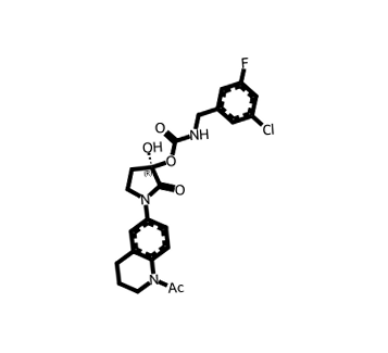 CC(=O)N1CCCc2cc(N3CC[C@@](O)(OC(=O)NCc4cc(F)cc(Cl)c4)C3=O)ccc21